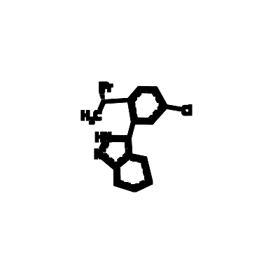 CC(C)[C@@H](C)c1ccc(Cl)cc1-c1[nH]nc2ccccc12